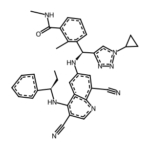 CC[C@@H](Nc1c(C#N)cnc2c(C#N)cc(N[C@H](c3cn(C4CC4)nn3)c3cccc(C(=O)NC)c3C)cc12)c1ccccc1